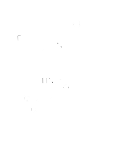 O=C(NC1CCS(=O)(=O)C1)c1ccc2c(-c3ccccc3Cl)cn(-c3ccc(F)cc3)c2c1